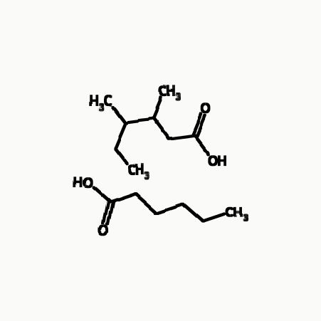 CCC(C)C(C)CC(=O)O.CCCCCC(=O)O